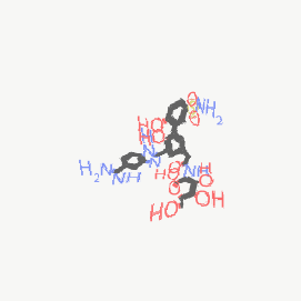 N=C(N)c1ccc2[nH]c(-c3cc(CC(=O)NC4C(O)O[C@H](CO)[C@@H](O)[C@@H]4O)cc(-c4cc(S(N)(=O)=O)ccc4O)c3O)nc2c1